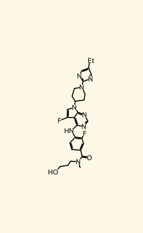 CCc1cnc(N2CCC(n3cc(F)c4c(Nc5ccc(C(=O)N(C)CCCO)cc5F)ncnc43)CC2)nc1